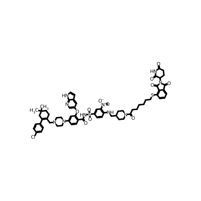 CC1(C)CCC(CN2CCN(c3ccc(C(=O)NS(=O)(=O)c4ccc(NCC5CCN(C(=O)CCCCCCSc6cccc7c6C(=O)N(C6CCC(=O)NC6=O)C7=O)CC5)c([N+](=O)[O-])c4)c(Oc4cnc5[nH]ccc5c4)c3)CC2)=C(c2ccc(Cl)cc2)C1